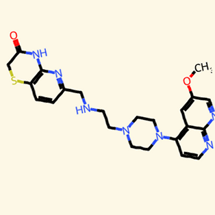 COc1cnc2nccc(N3CCN(CCNCc4ccc5c(n4)NC(=O)CS5)CC3)c2c1